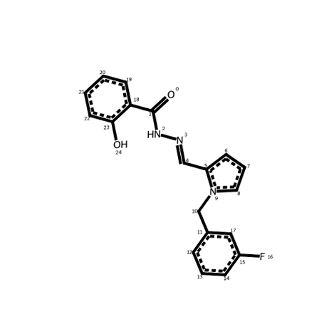 O=C(N/N=C/c1cccn1Cc1cccc(F)c1)c1ccccc1O